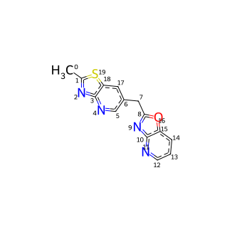 Cc1nc2ncc(Cc3nc4ncccc4o3)cc2s1